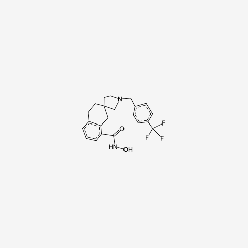 O=C(NO)c1cccc2c1CC1(CC2)CCN(Cc2ccc(C(F)(F)F)cc2)C1